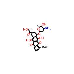 COc1cccc2c1C(=O)c1c(O)c3c(c(O)c1C2=O)C[C@@](C)(C(=O)CO)C[C@@H]3O[C@H]1C[C@H](N)[C@H](O)[C@H](C)O1